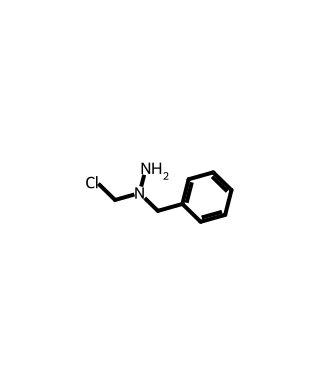 NN(CCl)Cc1ccccc1